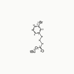 CC(C)(C)OC(=O)CCCc1cccc(Br)c1